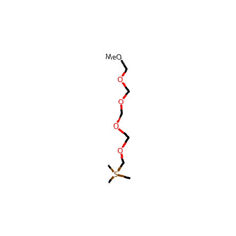 COCOCOCOCOCS(C)(C)C